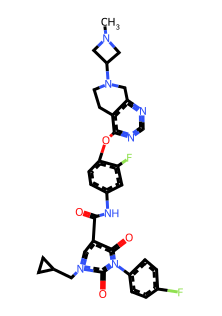 CN1CC(N2CCc3c(ncnc3Oc3ccc(NC(=O)c4cn(CC5CC5)c(=O)n(-c5ccc(F)cc5)c4=O)cc3F)C2)C1